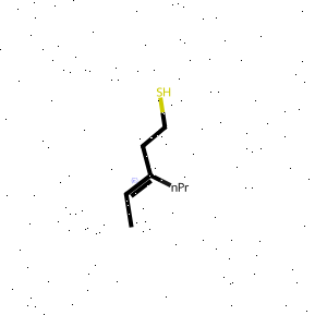 C/C=C(\CCC)CCS